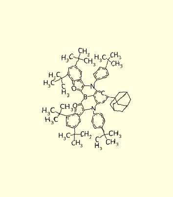 CC(C)(C)c1ccc(N2c3cc(C45CC6CC(CC(C6)C4)C5)cc4c3B(c3oc5c(C(C)(C)C)cc(C(C)(C)C)cc5c32)c2oc3c(C(C)(C)C)cc(C(C)(C)C)cc3c2N4c2ccc(C(C)(C)C)cc2)cc1